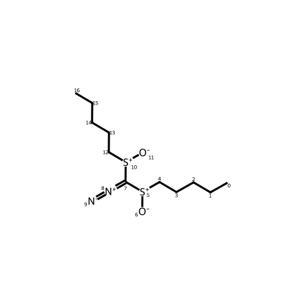 CCCCC[S+]([O-])C(=[N+]=[N-])[S+]([O-])CCCCC